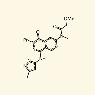 COCC(=O)N(C)c1ccc2c(Nc3cc(C)[nH]n3)nn(C(C)C)c(=O)c2c1